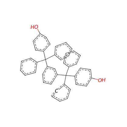 Oc1ccc(C(c2ccccc2)(c2ccccc2)c2cccc(C(c3ccccc3)(c3ccccc3)c3ccc(O)cc3)c2)cc1